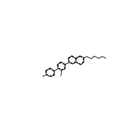 CCCCCCc1ccc2cc(-c3ccc(-c4ccc(F)cc4)c(F)c3)ccc2c1